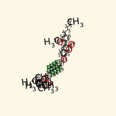 CCCCCc1ccc(-c2cc3ccc(OCCC(F)(F)C(F)(F)C(F)(F)C(F)(F)CCOC(=O)C(C)(CC(C)(C)C)C(C)C)cc3oc2=O)c(OC)c1